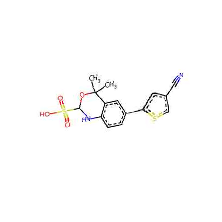 CC1(C)OC(S(=O)(=O)O)Nc2ccc(-c3cc(C#N)cs3)cc21